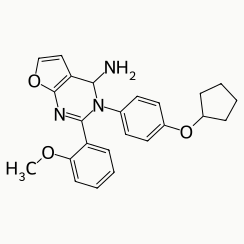 COc1ccccc1C1=Nc2occc2C(N)N1c1ccc(OC2CCCC2)cc1